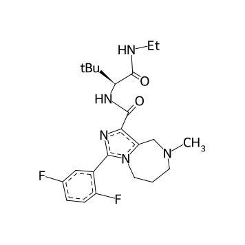 CCNC(=O)[C@@H](NC(=O)c1nc(-c2cc(F)ccc2F)n2c1CN(C)CCC2)C(C)(C)C